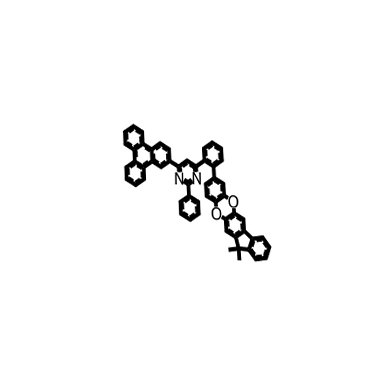 CC1(C)c2ccccc2-c2cc3c(cc21)Oc1ccc(-c2ccccc2-c2cc(-c4ccc5c6ccccc6c6ccccc6c5c4)nc(-c4ccccc4)n2)cc1O3